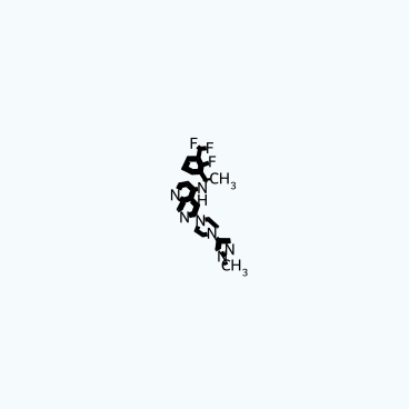 C[C@@H](Nc1ccnc2cnc(N3CCN(c4cnn(C)c4)CC3)cc12)c1cccc(C(F)F)c1F